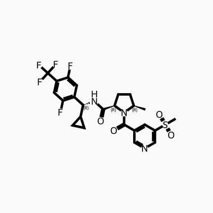 C[C@@H]1CC[C@H](C(=O)N[C@@H](c2cc(F)c(C(F)(F)F)cc2F)C2CC2)N1C(=O)c1cncc(S(C)(=O)=O)c1